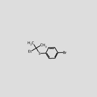 CCC(C)(C)Sc1ccc(Br)cc1